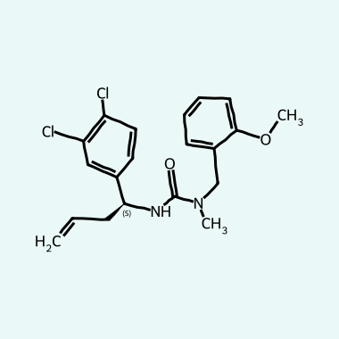 C=CC[C@H](NC(=O)N(C)Cc1ccccc1OC)c1ccc(Cl)c(Cl)c1